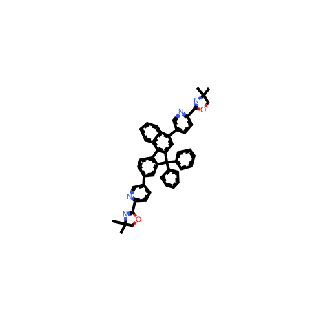 CC1(C)COC(c2ccc(-c3ccc4c(c3)C(c3ccccc3)(c3ccccc3)c3cc(-c5ccc(C6=NC(C)(C)CO6)nc5)c5ccccc5c3-4)cn2)=N1